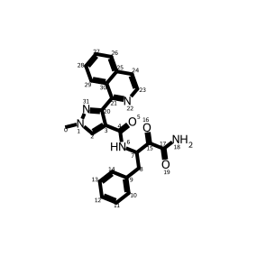 Cn1cc(C(=O)NC(Cc2ccccc2)C(=O)C(N)=O)c(-c2nccc3ccccc23)n1